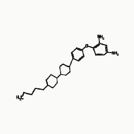 CCCCCC1CCC(C2CCC(c3ccc(Oc4ccc(N)cc4N)cc3)CC2)CC1